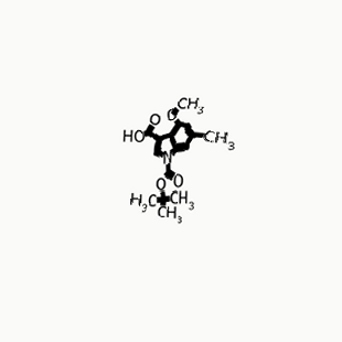 COc1cc(C)cc2c1c(C(=O)O)cn2C(=O)OC(C)(C)C